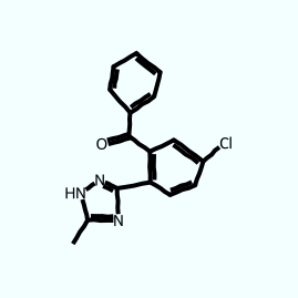 Cc1nc(-c2ccc(Cl)cc2C(=O)c2ccccc2)n[nH]1